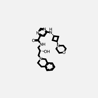 O=C(NC[C@H](O)CN1CCc2ccccc2C1)c1cc(N[C@H]2C[C@H](N3CCOCC3)C2)ncn1